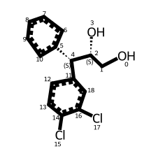 OC[C@@H](O)[C@@H](c1ccccc1)c1ccc(Cl)c(Cl)c1